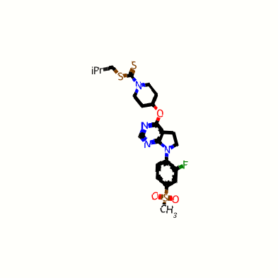 CC(C)CSC(=S)N1CCC(Oc2ncnc3c2CCN3c2ccc(S(C)(=O)=O)cc2F)CC1